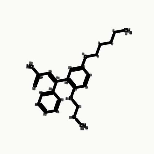 CCCCCOc1ccc(OCOC)c(/C(=C/C(=O)O)c2ccccc2)c1